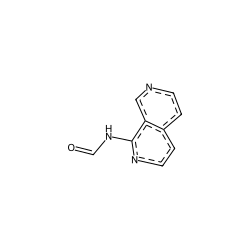 O=CNc1nccc2ccncc12